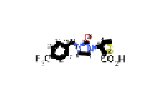 O=C(O)c1sccc1N1CCN(Cc2ccc(C(F)(F)F)cc2)C1=O